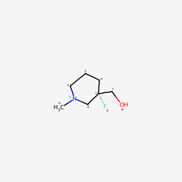 CN1CCC[C@@](F)(CO)C1